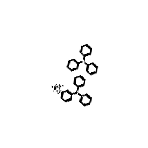 CC(=O)[O-].CC(=O)[O-].[Pt+2].c1ccc(P(c2ccccc2)c2ccccc2)cc1.c1ccc(P(c2ccccc2)c2ccccc2)cc1